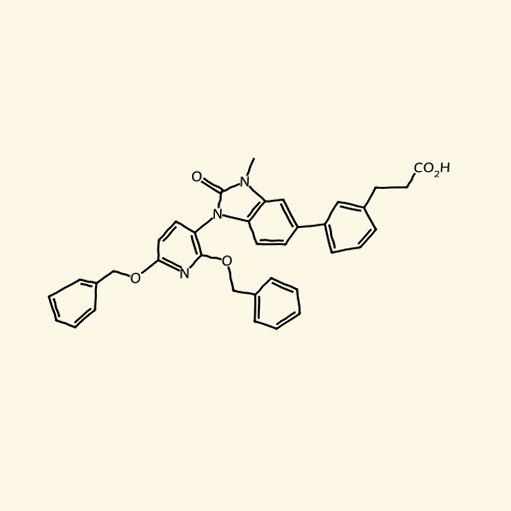 Cn1c(=O)n(-c2ccc(OCc3ccccc3)nc2OCc2ccccc2)c2ccc(-c3cccc(CCC(=O)O)c3)cc21